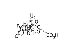 C[C@@H]1C[C@H]2[C@@H]3C[C@H](F)C4=CC(=O)C=C[C@]4(C)[C@H]3[C@@H](O)C[C@]2(C)[C@H]1C(=O)COC(=O)CCCC(=O)O